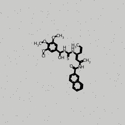 C=C(/C=C(\C=C/C)NC(=S)NC(O)c1cc(OC)c(OC)c(OCl)c1)NC(=O)c1ccc2ccc#cc2c1